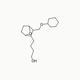 OCCCCC1C2CCC(O2)C1COC1CCCCC1